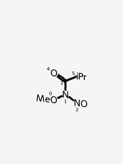 CON(N=O)C(=O)C(C)C